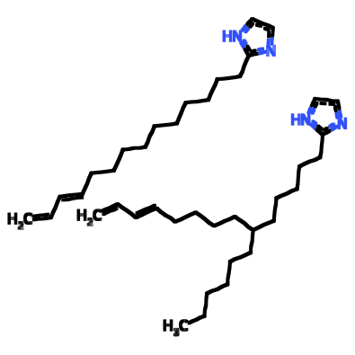 C=CC=CCCCCC(CCCCCC)CCCCCc1ncc[nH]1.C=CC=CCCCCCCCCCCc1ncc[nH]1